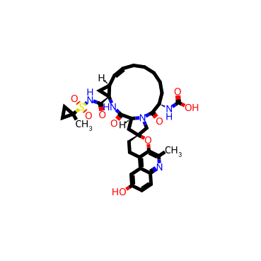 Cc1nc2ccc(O)cc2c2c1O[C@]1(CC2)C[C@H]2C(=O)N[C@]3(C(=O)NS(=O)(=O)C4(C)CC4)C[C@H]3/C=C\CCCCC[C@H](NC(=O)O)C(=O)N2C1